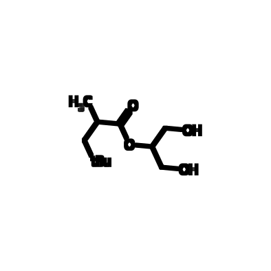 CC(CC(C)(C)C)C(=O)OC(CO)CO